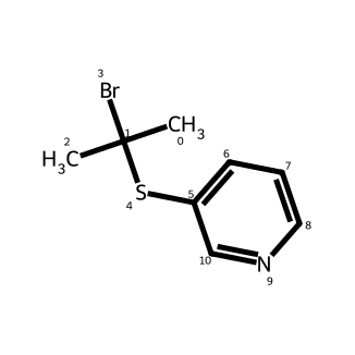 CC(C)(Br)Sc1cccnc1